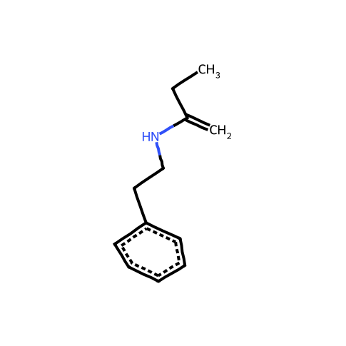 C=C(CC)NCCc1ccccc1